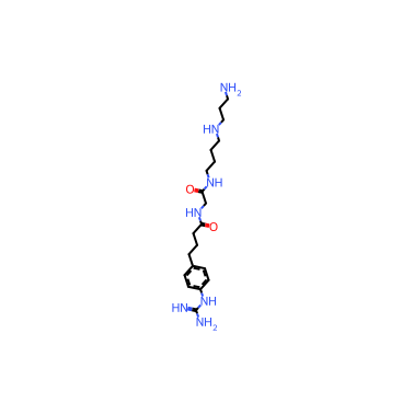 N=C(N)Nc1ccc(CCCC(=O)NCC(=O)NCCCCNCCCN)cc1